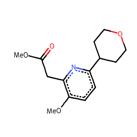 COC(=O)Cc1nc(C2CCOCC2)ccc1OC